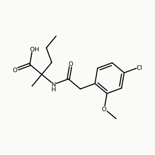 CCCC(C)(NC(=O)Cc1ccc(Cl)cc1OC)C(=O)O